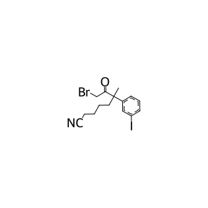 CC(CCCCC#N)(C(=O)CBr)c1cccc(I)c1